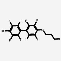 CCCCOc1c(F)c(F)c(-c2c(F)c(F)c(O)c(F)c2F)c(F)c1F